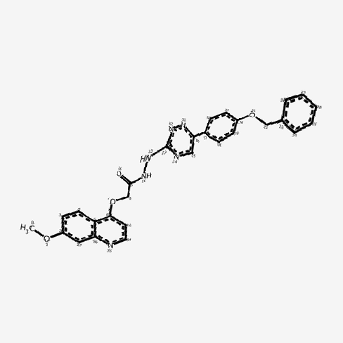 COc1ccc2c(OCC(=O)NNc3ncc(-c4ccc(OCc5ccccc5)cc4)nn3)ccnc2c1